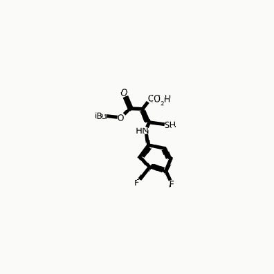 CCC(C)OC(=O)C(C(=O)O)=C(S)Nc1ccc(F)c(F)c1